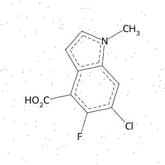 Cn1ccc2c(C(=O)O)c(F)c(Cl)cc21